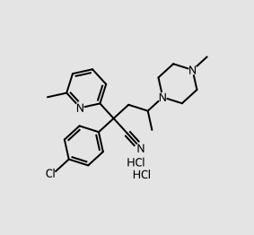 Cc1cccc(C(C#N)(CC(C)N2CCN(C)CC2)c2ccc(Cl)cc2)n1.Cl.Cl